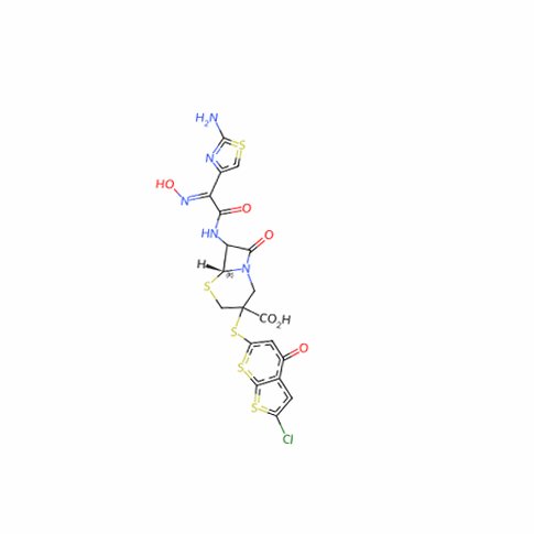 Nc1nc(C(=NO)C(=O)NC2C(=O)N3CC(Sc4cc(=O)c5cc(Cl)sc5s4)(C(=O)O)CS[C@H]23)cs1